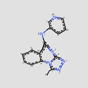 Cc1nnc2nc(Nc3cccnc3)c3ccccc3n12